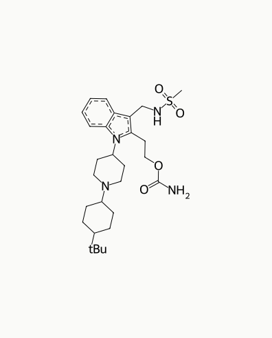 CC(C)(C)C1CCC(N2CCC(n3c(CCOC(N)=O)c(CNS(C)(=O)=O)c4ccccc43)CC2)CC1